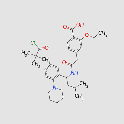 CC(C)(C)C(=O)Cl.CCOc1cc(CC(=O)NC(CC(C)C)c2ccccc2N2CCCCC2)ccc1C(=O)O